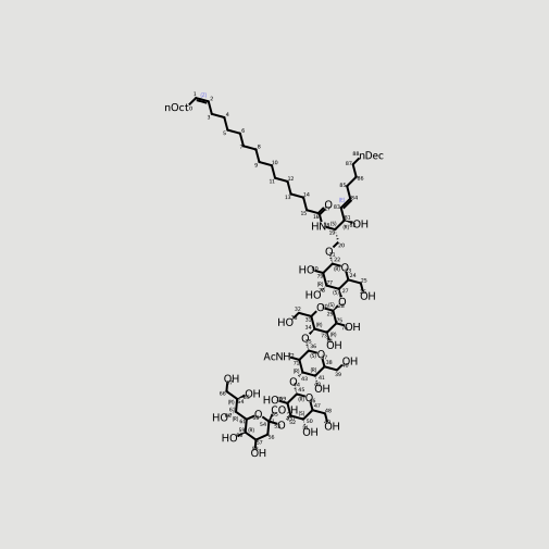 CCCCCCCC/C=C\CCCCCCCCCCCCCC(=O)N[C@@H](CO[C@@H]1OC(CO)[C@@H](O[C@@H]2OC(CO)[C@H](O[C@@H]3OC(CO)[C@H](O)[C@H](O[C@@H]4OC(CO)[C@H](O)[C@H](O[C@]5(C(=O)O)CC(O)[C@@H](O)C([C@H](O)[C@H](O)CO)O5)C4O)C3NC(C)=O)[C@H](O)C2O)[C@H](O)C1O)[C@H](O)/C=C/CCCCCCCCCCCCC